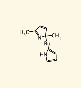 CC1=N[C](C)([Ru][c]2ccc[nH]2)C=C1